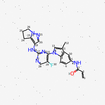 C=CC(=O)Nc1ccc2c(c1)c(C)cn2-c1nc(Nc2cnn3c2CCC3)ncc1F